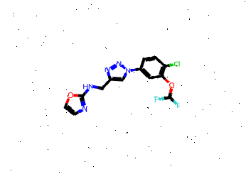 FC(F)Oc1cc(-n2cc(CNc3ncco3)nn2)ccc1Cl